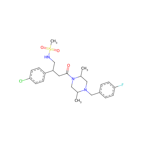 CC1CN(C(=O)CC(CNS(C)(=O)=O)c2ccc(Cl)cc2)C(C)CN1Cc1ccc(F)cc1